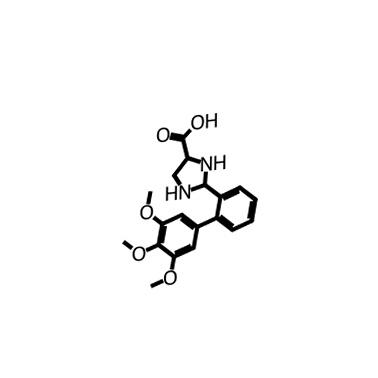 COc1cc(-c2ccccc2C2NCC(C(=O)O)N2)cc(OC)c1OC